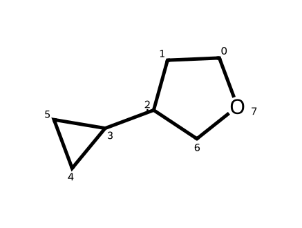 C1C[C](C2CC2)CO1